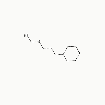 SCSCCCC1CCCCC1